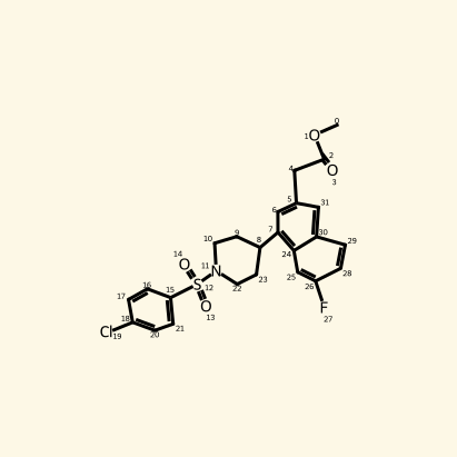 COC(=O)Cc1cc(C2CCN(S(=O)(=O)c3ccc(Cl)cc3)CC2)c2cc(F)ccc2c1